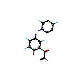 C=C(C(=O)OCC)C(=O)c1c(C)c(F)c(F)c(Nc2ccc(F)cc2F)c1F